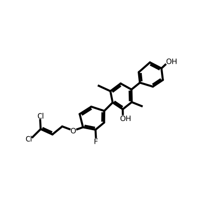 Cc1cc(-c2ccc(O)cc2)c(C)c(O)c1-c1ccc(OCC=C(Cl)Cl)c(F)c1